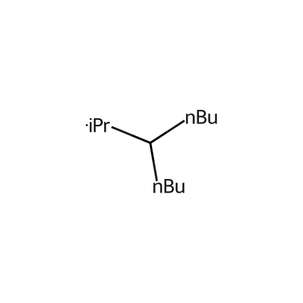 CCCCC(CCCC)[C](C)C